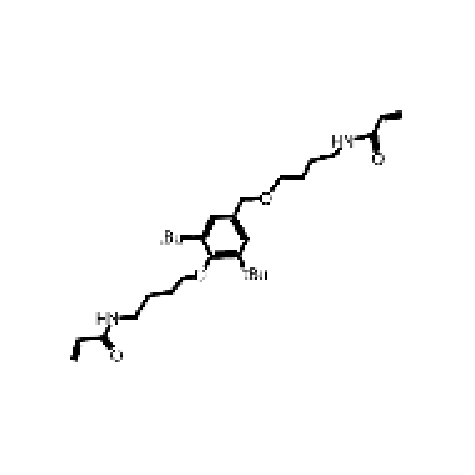 C=CC(=O)NCCCCOCc1cc(C(C)(C)C)c(OCCCCNC(=O)C=C)c(C(C)(C)C)c1